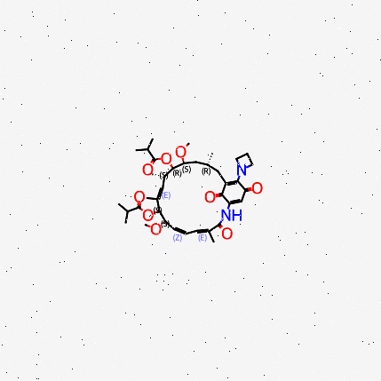 CO[C@H]1/C=C\C=C(/C)C(=O)NC2=CC(=O)C(N3CCC3)=C(C[C@@H](C)C[C@H](OC)[C@H](OC(=O)C(C)C)[C@@H](C)/C=C(\C)[C@@H]1OC(=O)C(C)C)C2=O